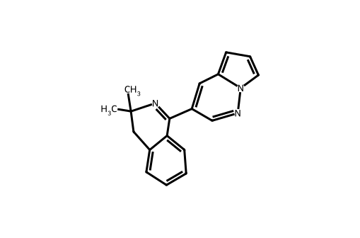 CC1(C)Cc2ccccc2C(c2cnn3cccc3c2)=N1